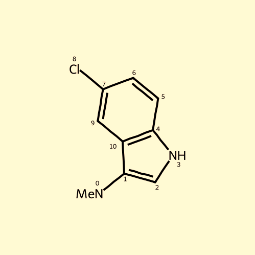 CNc1c[nH]c2ccc(Cl)cc12